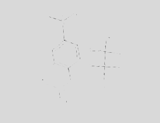 CC(C)(O)C(C)(C)O.CN(C)c1ccc(OB(O)O)cc1